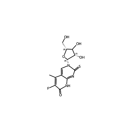 Cc1c(F)c(=O)[nH]c2nc(=S)n([C@@H]3O[C@H](CO)C(O)[C@@H]3O)cc12